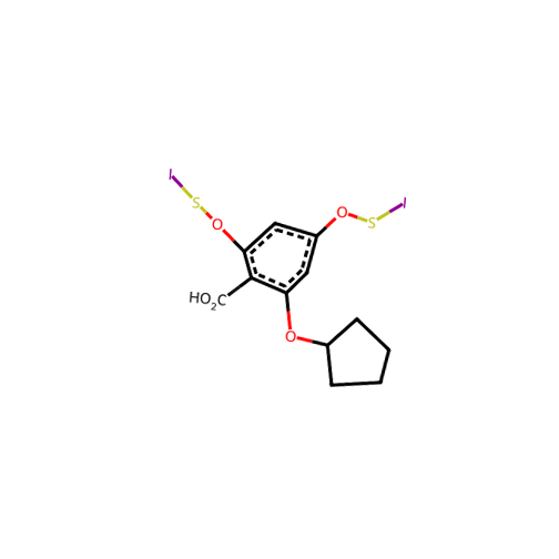 O=C(O)c1c(OSI)cc(OSI)cc1OC1CCCC1